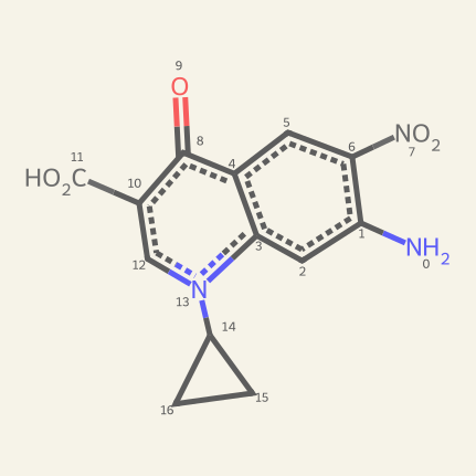 Nc1cc2c(cc1[N+](=O)[O-])c(=O)c(C(=O)O)cn2C1CC1